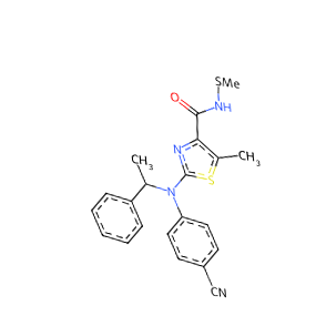 CSNC(=O)c1nc(N(c2ccc(C#N)cc2)C(C)c2ccccc2)sc1C